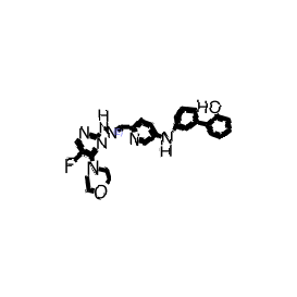 Oc1ccccc1-c1cccc(Nc2ccc(/C=N/Nc3ncc(F)c(N4CCOCC4)n3)nc2)c1